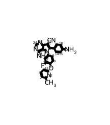 Cc1cccc(Oc2ccc(-n3c(-c4ccc(N)cc4)c(C#N)c4ncnc(N)c43)cc2F)n1